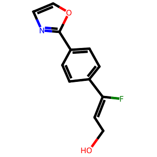 OCC=C(F)c1ccc(-c2ncco2)cc1